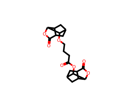 O=C(CCCOC1C2CC3C(=O)OC1C3C2)OC1C2CC3C(=O)OC1C3C2